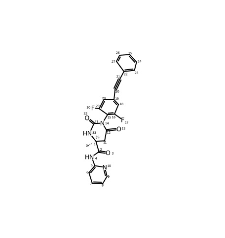 C[C@@]1(C(=O)Nc2ccccn2)CC(=O)N(c2c(F)cc(C#Cc3ccccc3)cc2F)C(=O)N1